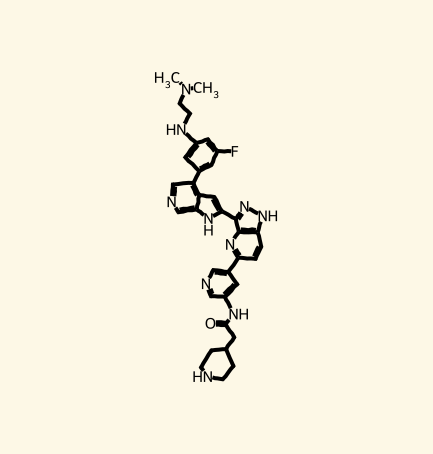 CN(C)CCNc1cc(F)cc(-c2cncc3[nH]c(-c4n[nH]c5ccc(-c6cncc(NC(=O)CC7CCNCC7)c6)nc45)cc23)c1